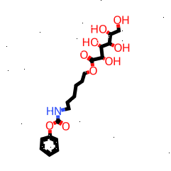 O=C(NCCCCCCOC(=O)C(O)C(O)C(O)C(O)CO)Oc1ccccc1